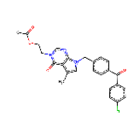 CC(=O)OCCn1cnc2c(c(C)cn2Cc2ccc(C(=O)c3ccc(Cl)cc3)cc2)c1=O